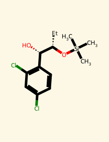 CC[C@H](O[Si](C)(C)C)[C@@H](O)c1ccc(Cl)cc1Cl